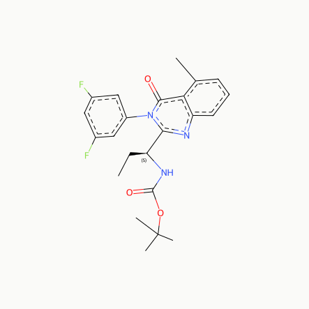 CC[C@H](NC(=O)OC(C)(C)C)c1nc2cccc(C)c2c(=O)n1-c1cc(F)cc(F)c1